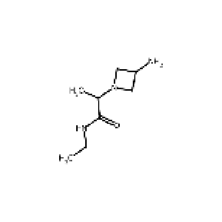 CCNC(=O)C(C)N1CC(N)C1